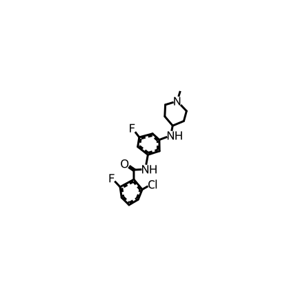 CN1CCC(Nc2cc(F)cc(NC(=O)c3c(F)cccc3Cl)c2)CC1